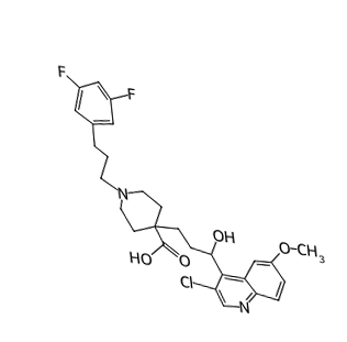 COc1ccc2ncc(Cl)c(C(O)CCC3(C(=O)O)CCN(CCCc4cc(F)cc(F)c4)CC3)c2c1